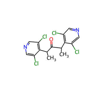 CC(C(=O)C(C)c1c(Cl)cncc1Cl)c1c(Cl)cncc1Cl